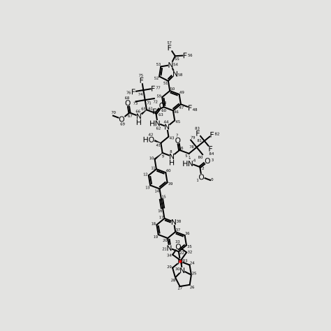 COC(=O)N[C@H](C(=O)N[C@@H](Cc1ccc(C#Cc2ccc3nc(N4CC5CCC(C4)N5C4COC4)ccc3n2)cc1)[C@@H](O)CN(Cc1c(F)cc(-c2ccn(C(F)F)n2)cc1F)NC(=O)[C@@H](NC(=O)OC)C(C)(C)C(F)(F)F)C(C)(C)C(F)(F)F